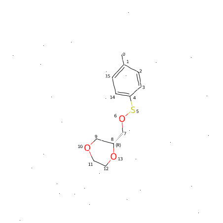 Cc1ccc(SOC[C@H]2COCCO2)cc1